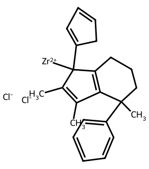 CC1=C(C)[C]([Zr+2])(C2=CC=CC2)C2=C1C(C)(c1ccccc1)CCC2.[Cl-].[Cl-]